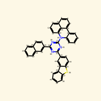 c1ccc2c(c1)-c1cccc3cccc(c13)N2c1nc(-c2ccc3ccccc3c2)nc(-c2ccc3sc4ccccc4c3c2)n1